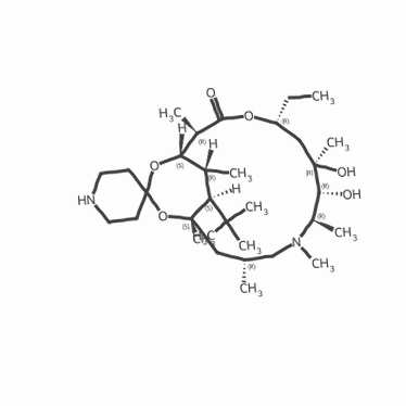 CC[C@@H]1C[C@@](C)(O)[C@H](O)[C@@H](C)N(C)C[C@H](C)C[C@]2(C)OC3(CCNCC3)O[C@@H]([C@H](C)[C@H]2C(C)(C)C)[C@@H](C)C(=O)O1